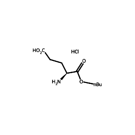 CCCCOC(=O)[C@@H](N)CCC(=O)O.Cl